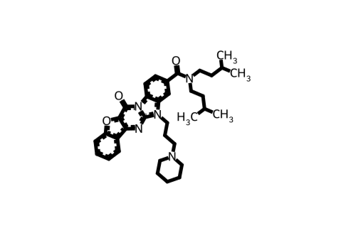 CC(C)CCN(CCC(C)C)C(=O)c1ccc2c(c1)n(CCCN1CCCCC1)c1nc3c(oc4ccccc43)c(=O)n21